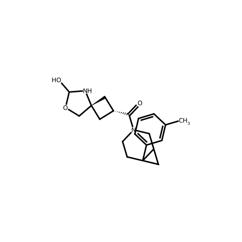 Cc1cccc(C23CCN(C(=O)[C@H]4C[C@]5(COC(O)N5)C4)CC2C3)c1